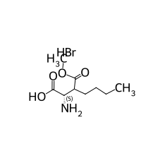 Br.CCCCC(C(=O)OC)[C@H](N)C(=O)O